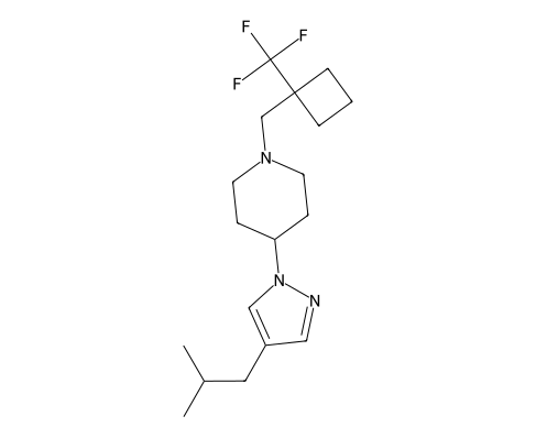 CC(C)Cc1cnn(C2CCN(CC3(C(F)(F)F)CCC3)CC2)c1